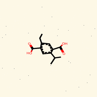 CCc1cc(C(=O)O)c(C(C)C)cc1C(=O)O